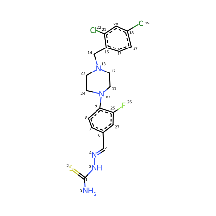 NC(=S)NN=Cc1ccc(N2CCN(Cc3ccc(Cl)cc3Cl)CC2)c(F)c1